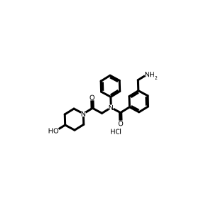 Cl.NCc1cccc(C(=O)N(CC(=O)N2CCC(O)CC2)c2ccccc2)c1